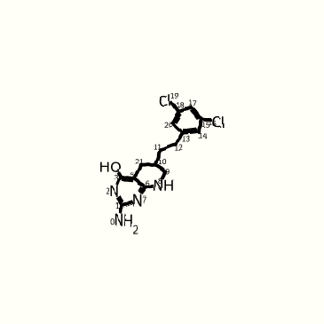 Nc1nc(O)c2c(n1)NCC(CCc1cc(Cl)cc(Cl)c1)C2